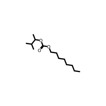 CCCCCCCCOC(=O)OC(C)C(C)C